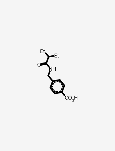 CCC(CC)C(=O)NCc1ccc(C(=O)O)cc1